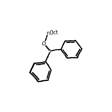 CCCCCCCCOI(c1ccccc1)c1ccccc1